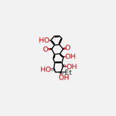 CC[C@@]1(O)C[C@H](O)c2cc3c(c(O)c2[C@H]1O)C(=O)c1cccc(O)c1C3=O